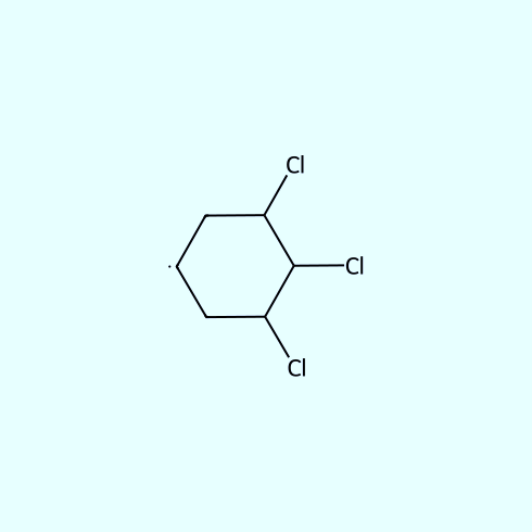 ClC1C[CH]CC(Cl)C1Cl